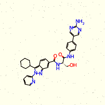 Nc1ncc(-c2ccc(NC(=O)[C@H](CO)NC(=O)c3ccc4c(C5CCCCC5)n(-c5ccccn5)nc4c3)cc2)cn1